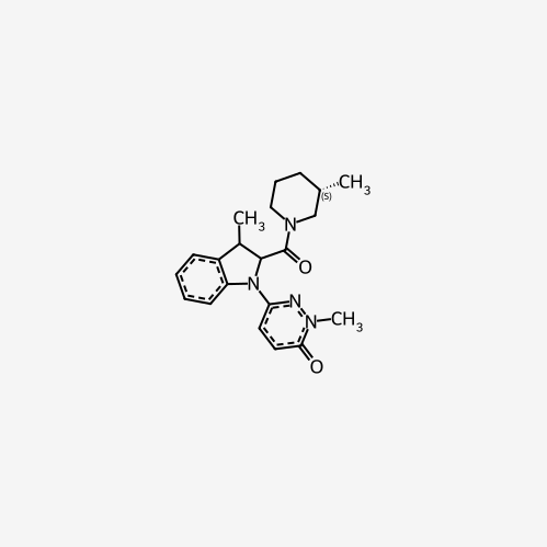 CC1c2ccccc2N(c2ccc(=O)n(C)n2)C1C(=O)N1CCC[C@H](C)C1